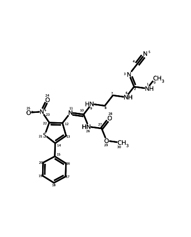 CNC(=NC#N)NCCNC(=Nc1cc(-c2ccccc2)sc1[N+](=O)[O-])NC(=O)OC